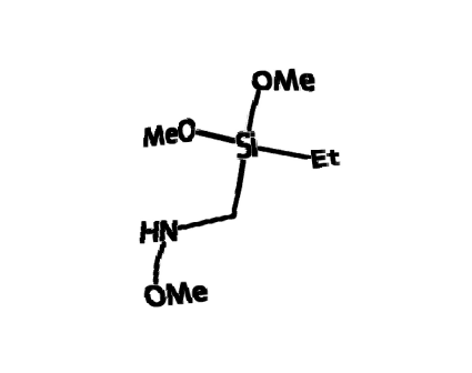 CC[Si](CNOC)(OC)OC